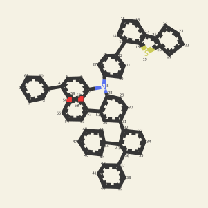 c1ccc(-c2ccc(N(c3ccc(-c4cccc5c4sc4ccccc45)cc3)c3ccc(-c4cccc(-c5ccccc5)c4-c4ccccc4)cc3-c3ccccc3)cc2)cc1